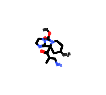 CC(CN)C(=O)C1(C2=NCCN2)CC(C(=O)O)CCN1C(=O)OC(C)(C)C